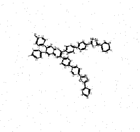 Cc1ccc(-c2cc3nc(-c4ccc(-c5ccc(-c6nnc(-c7ccccc7)o6)cc5)cc4)c(-c4ccc(-c5ccc(-c6nnc(-c7ccccc7)o6)cc5)cc4)nc3cc2-c2ccc(C)cc2)cc1